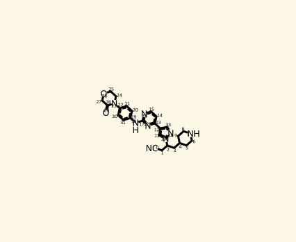 N#CCC(CC1CCNCC1)n1cc(-c2ccnc(Nc3ccc(N4CCOCC4=O)cc3)n2)cn1